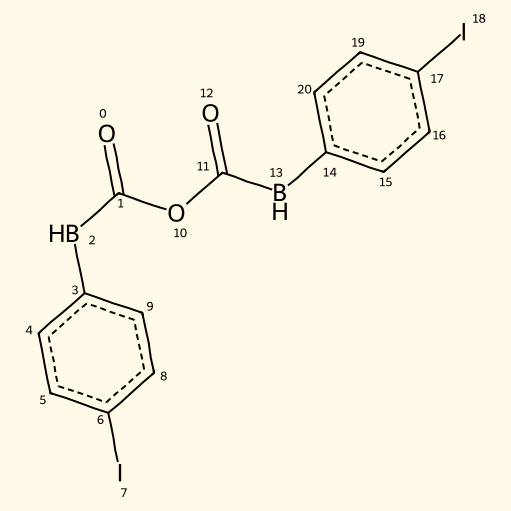 O=C(Bc1ccc(I)cc1)OC(=O)Bc1ccc(I)cc1